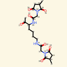 CC(=O)C(CCCCNC(=O)CN1C(=O)CC(C)C1=O)NC(=O)CN1C(=O)CC(C)C1=O